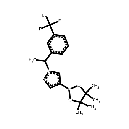 CC(c1cccc(C(C)(F)F)c1)n1cc(B2OC(C)(C)C(C)(C)O2)cn1